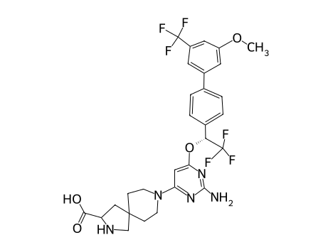 COc1cc(-c2ccc([C@@H](Oc3cc(N4CCC5(CC4)CNC(C(=O)O)C5)nc(N)n3)C(F)(F)F)cc2)cc(C(F)(F)F)c1